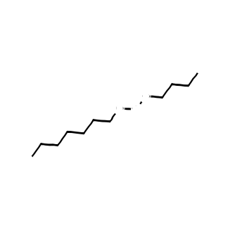 CCCCCCCOOOCCCC